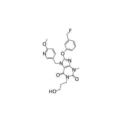 COc1ccc(Cn2c(Oc3cccc(CF)c3)nc3c2c(=O)n(CCCO)c(=O)n3C)cn1